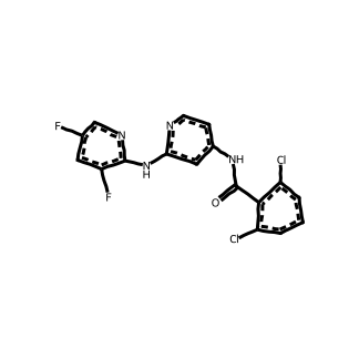 O=C(Nc1ccnc(Nc2ncc(F)cc2F)c1)c1c(Cl)cccc1Cl